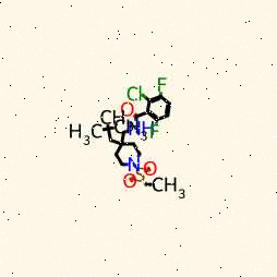 CCS(=O)(=O)N1CCC(CNC(=O)c2c(F)ccc(F)c2Cl)(CC(C)(C)C)CC1